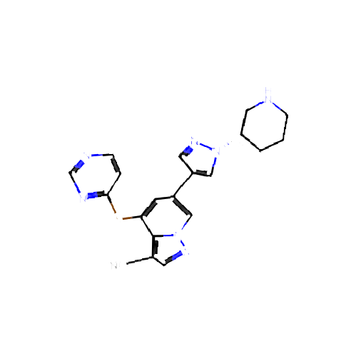 N#Cc1cnn2cc(-c3cnn([C@H]4CCCNC4)c3)cc(Sc3ccncn3)c12